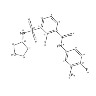 Cc1cc(NC(=O)c2cccc(S(=O)(=O)N[C@@H]3CCOC3)c2F)ccc1F